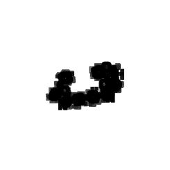 CC(=O)N[C@@H](C(=O)N1CCC[C@H]1c1ncc(-c2ccc(-c3ccc(-c4cnc([C@@H]5CCCN5C(=O)Cc5ccccc5)s4)cc3)cc2)s1)c1ccccc1